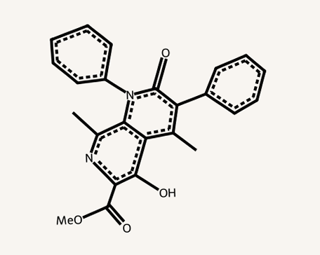 COC(=O)c1nc(C)c2c(c(C)c(-c3ccccc3)c(=O)n2-c2ccccc2)c1O